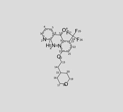 Nc1ncccc1C(=O)c1nc(OCCC2CCOCC2)ccc1C(F)(F)F